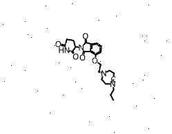 CCCN1CCCN(CCOc2cccc3c2C(=O)N(C2CCC(=O)NC2=O)C3=O)CC1